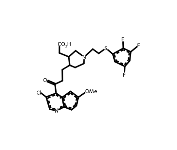 COc1ccc2ncc(Cl)c(C(=O)CCC3CCN(CCSc4cc(F)cc(F)c4F)CC3CC(=O)O)c2c1